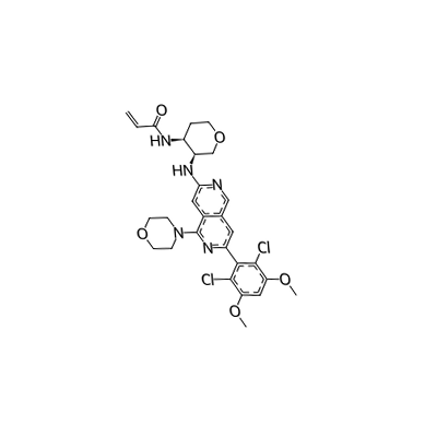 C=CC(=O)N[C@H]1CCOC[C@H]1Nc1cc2c(N3CCOCC3)nc(-c3c(Cl)c(OC)cc(OC)c3Cl)cc2cn1